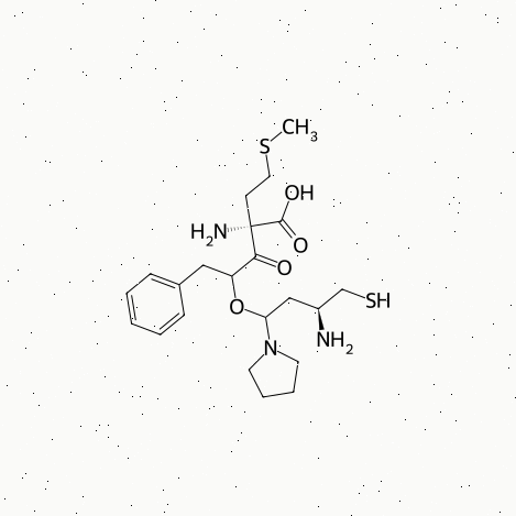 CSCC[C@@](N)(C(=O)O)C(=O)C(Cc1ccccc1)OC(C[C@H](N)CS)N1CCCC1